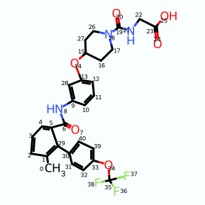 Cc1cccc(C(=O)Nc2cccc(OC3CCN(C(=O)NCC(=O)O)CC3)c2)c1-c1ccc(OC(F)(F)F)cc1